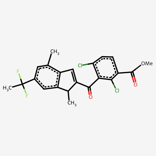 COC(=O)c1ccc(Cl)c(C(=O)C2=Cc3c(C)cc(C(C)(F)F)cc3C2C)c1Cl